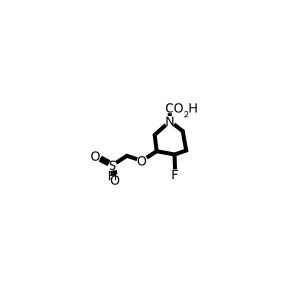 O=C(O)N1CCC(F)C(OC[SH](=O)=O)C1